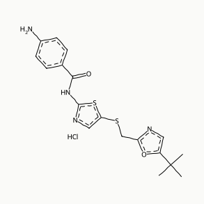 CC(C)(C)c1cnc(CSc2cnc(NC(=O)c3ccc(N)cc3)s2)o1.Cl